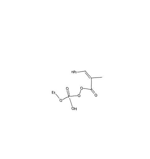 CCCC=C(C)C(=O)OOP(=O)(O)OCC